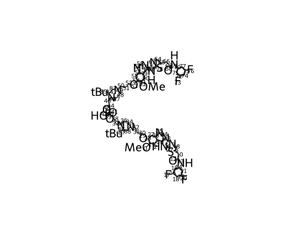 COc1cc2c(Nc3ncc(CC(=O)Nc4cc(F)cc(F)c4)s3)ncnc2cc1OCCCN1CCN(CCOP(=O)(O)OCCN2CCN(CCCOc3cc4ncnc(Nc5ncc(CC(=O)Nc6cc(F)cc(F)c6)s5)c4cc3OC)CC2C(C)(C)C)C(C(C)(C)C)C1